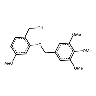 COc1ccc(CO)c(OCc2cc(OC)c(OC)c(OC)c2)c1